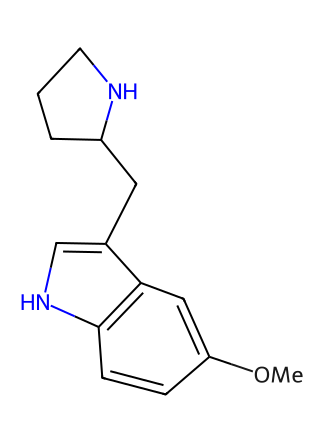 COc1ccc2[nH]cc(CC3CCCN3)c2c1